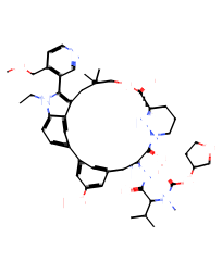 CCn1c(-c2cnccc2COC)c2c3cc(ccc31)-c1cc(O)cc(c1)C[C@H](NC(=O)C(C(C)C)N(C)C(=O)OC1CCOC1)C(=O)N1CCC[C@H](N1)C(=O)OCC(C)(C)C2